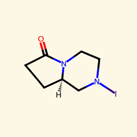 O=C1CC[C@@H]2CN(I)CCN12